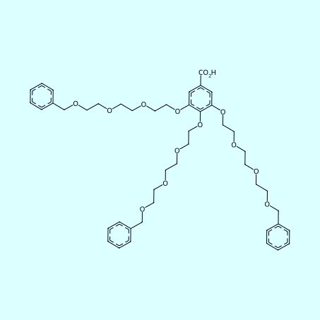 O=C(O)c1cc(OCCOCCOCCOCc2ccccc2)c(OCCOCCOCCOCc2ccccc2)c(OCCOCCOCCOCc2ccccc2)c1